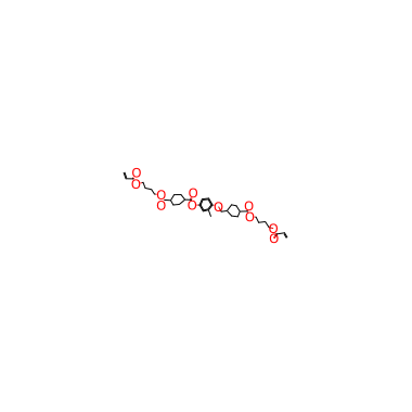 C=CC(=O)OCCCCOC(=O)C1CCC(COc2ccc(OC(=O)C3CCC(C(=O)OCCCCOC(=O)C=C)CC3)cc2C)CC1